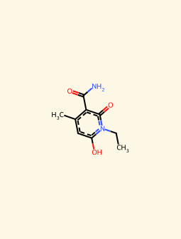 CCn1c(O)cc(C)c(C(N)=O)c1=O